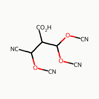 N#COC(C#N)C(C(=O)O)C(OC#N)OC#N